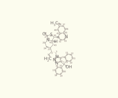 C=C[C@@H](Cn1cc(C(O)(c2ccccc2)c2ccccc2)nn1)[C@H]1CCN2C(=O)S[C@@H](c3ccnc4ccc(C)cc34)[C@@H]2C1